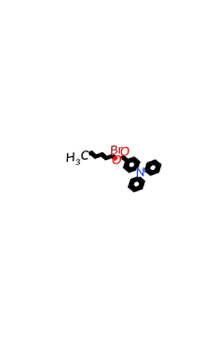 CCCCCC(Br)OC(=O)c1ccc(N(c2ccccc2)c2ccccc2)cc1